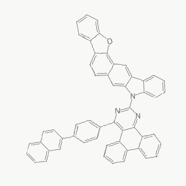 c1ccc2cc(-c3ccc(-c4nc(-n5c6ccccc6c6cc7c(ccc8c9ccccc9oc78)cc65)nc5c6ccccc6c6ccccc6c45)cc3)ccc2c1